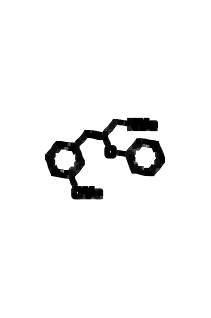 CNCC(=Cc1cccc(OC)c1)Oc1ccccc1